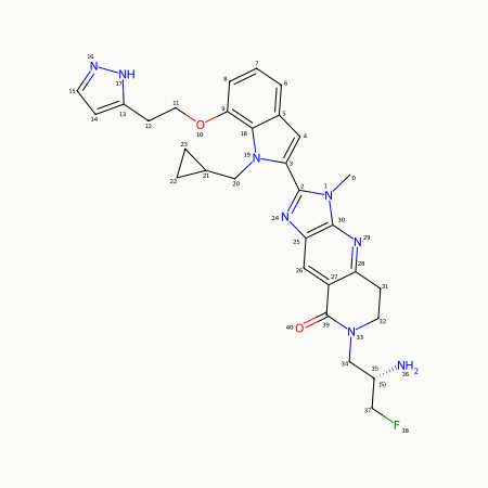 Cn1c(-c2cc3cccc(OCCc4ccn[nH]4)c3n2CC2CC2)nc2cc3c(nc21)CCN(C[C@H](N)CF)C3=O